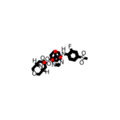 Cc1c(Nc2ccc(S(C)(=O)=O)cc2F)ncnc1O[C@H]1C[C@H]2COC[C@@H](C1)N2C(=O)OC1CCCCC1